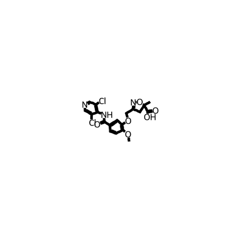 COc1ccc(C(=O)Nc2c(Cl)cncc2Cl)cc1OCC1=NOC(C)(C(=O)O)C1